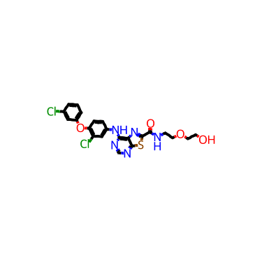 O=C(NCCOCCO)c1nc2c(Nc3ccc(Oc4cccc(Cl)c4)c(Cl)c3)ncnc2s1